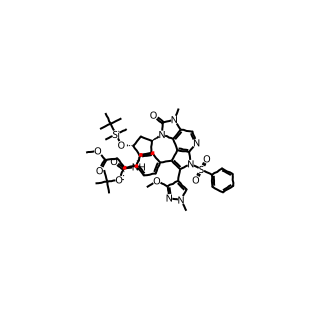 COC(=O)C[C@@H](C)c1ccc(-c2c(-c3cn(C)nc3OC)n(S(=O)(=O)c3ccccc3)c3ncc4c(c23)n([C@H]2C[C@H](NC(=O)OC(C)(C)C)[C@H](O[Si](C)(C)C(C)(C)C)C2)c(=O)n4C)cc1